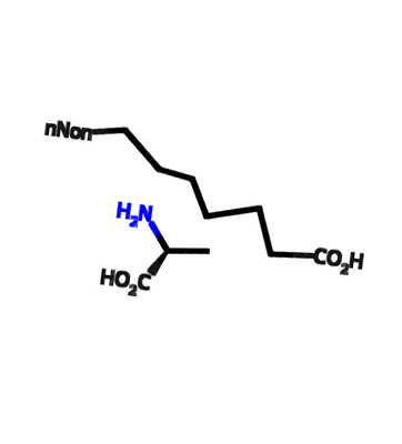 CCCCCCCCCCCCCCCC(=O)O.C[C@H](N)C(=O)O